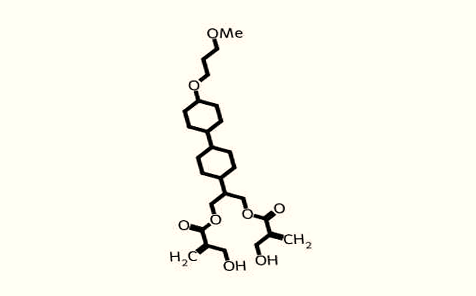 C=C(CO)C(=O)OCC(COC(=O)C(=C)CO)C1CCC(C2CCC(OCCCOC)CC2)CC1